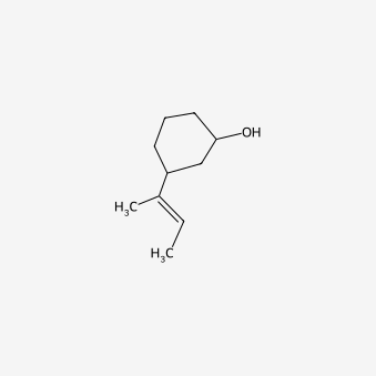 CC=C(C)C1CCCC(O)C1